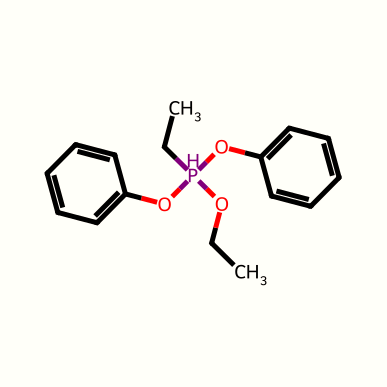 CCO[PH](CC)(Oc1ccccc1)Oc1ccccc1